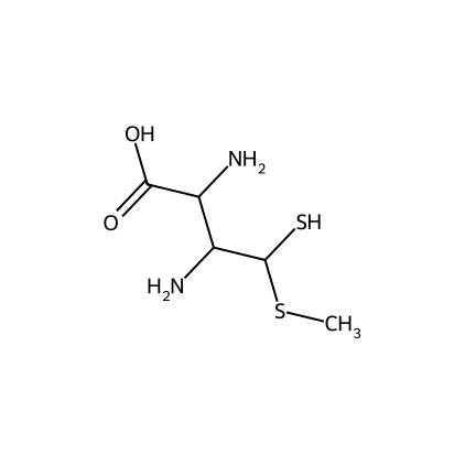 CSC(S)C(N)C(N)C(=O)O